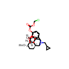 CO[C@@]12CC[C@@]3(C[C@@H]1[C@](C)(O)C(C)(C)C)C1Cc4ccc(OC(=O)OCCl)c5c4[C@@]3(CCN1CC1CC1)[C@H]2O5